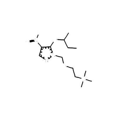 CCC(C)Oc1c([N+](=O)[O-])cnn1COCC[Si](C)(C)C